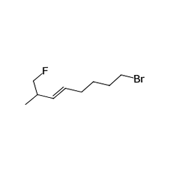 CC(C=CCCCCBr)CF